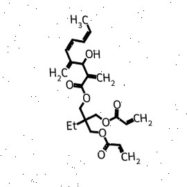 C=CC(=O)OCC(CC)(COC(=O)C=C)COC(=O)C(=C)C(O)C(=C)/C=C\C=C/C